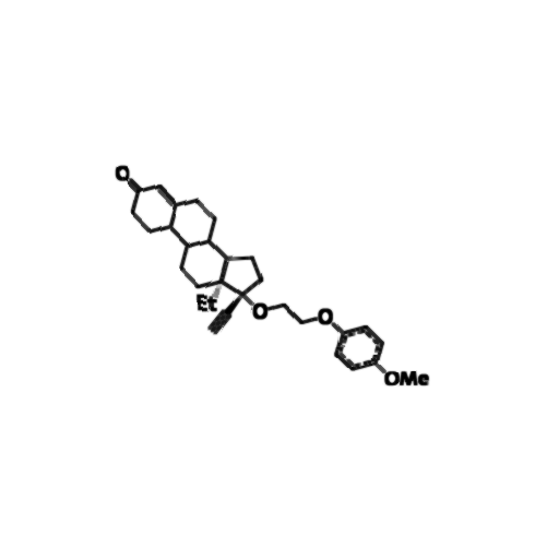 C#C[C@]1(OCCOc2ccc(OC)cc2)CCC2C3CCC4=CC(=O)CCC4C3CC[C@@]21CC